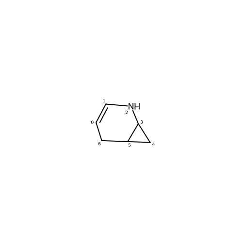 C1=CNC2CC2C1